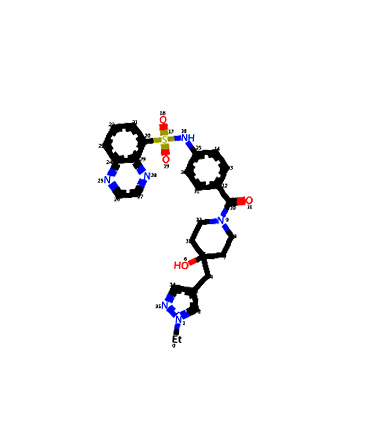 CCn1cc(CC2(O)CCN(C(=O)c3ccc(NS(=O)(=O)c4cccc5nccnc45)cc3)CC2)cn1